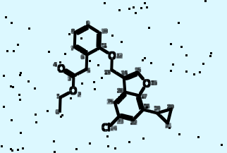 CCOC(=O)Cc1ccccc1OCc1coc2c(C3CC3)cc(Cl)cc12